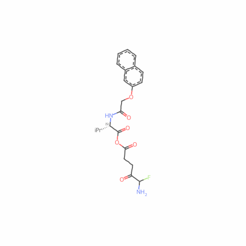 CC(C)[C@H](NC(=O)COc1ccc2ccccc2c1)C(=O)OC(=O)CCC(=O)C(N)F